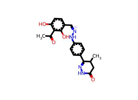 CC(=O)c1c(O)ccc(/C=N\Nc2ccc(C3=NNC(=O)CC3C)cc2)c1O